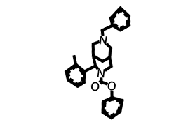 Cc1ccccc1C1C2CC(CN(Cc3ccccc3)C2)CN1C(=O)Oc1ccccc1